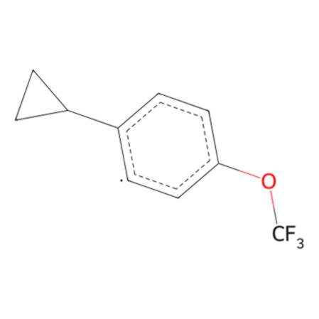 FC(F)(F)Oc1c[c]c(C2CC2)cc1